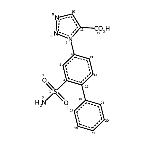 NS(=O)(=O)c1cc(-n2nncc2C(=O)O)ccc1-c1ccccc1